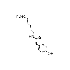 CCCCCCCCCCCCCCCNC(=S)Nc1ccc(O)cc1